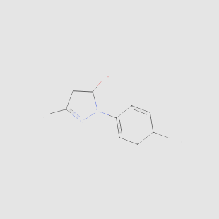 CC1=NN(C2=CCC(C)C=C2)C(O)C1